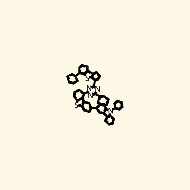 c1ccc(-c2nc(-c3cccc4c3sc3c(-c5ccccc5)cccc34)nc(-c3cccc4sc5ccc(-c6ccc7c(c6)c6ccccc6n7-c6ccccc6)cc5c34)n2)cc1